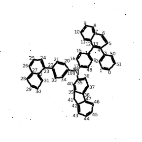 c1ccc(-c2ccc3ccccc3c2-c2ccc(N(c3ccc(-c4cccc5ccccc45)cc3)c3ccc4c(c3)Cc3ccccc3-4)cc2)cc1